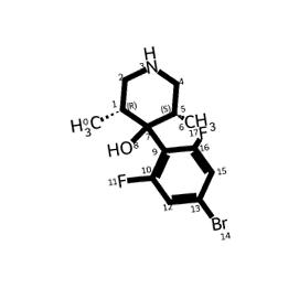 C[C@@H]1CNC[C@H](C)C1(O)c1c(F)cc(Br)cc1F